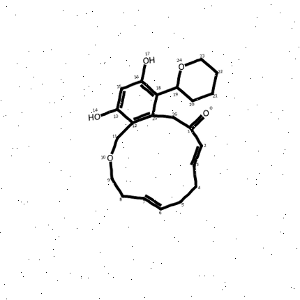 O=C1/C=C/CC/C=C/CCOCc2c(O)cc(O)c(C3CCCCO3)c2C1